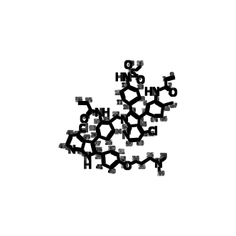 C=CC(=O)Nc1cc(-c2c(-c3ccc(NS(C)(=O)=O)cc3)n(Cc3ccc(-c4c(-c5ccc(OCCCN(C)C)cc5)[nH]c5nccc(Cl)c45)cc3NC(=O)C=C)c3nccc(Cl)c23)ccc1C